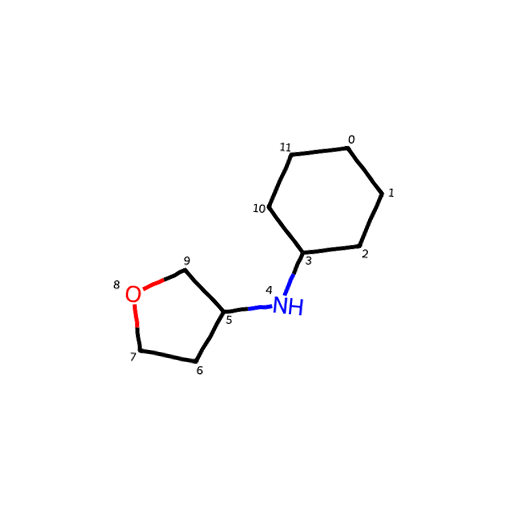 C1CCC(NC2CCOC2)CC1